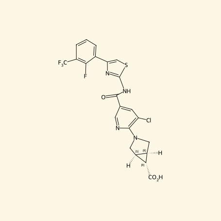 O=C(Nc1nc(-c2cccc(C(F)(F)F)c2F)cs1)c1cnc(N2C[C@@H]3[C@H](C2)[C@H]3C(=O)O)c(Cl)c1